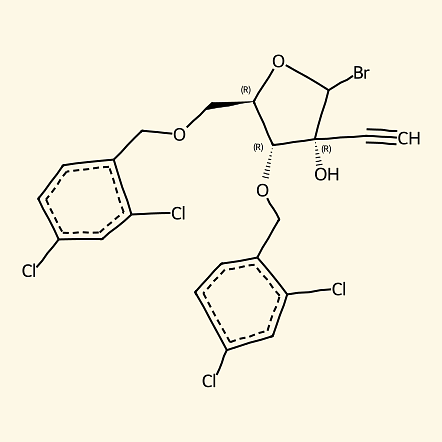 C#C[C@]1(O)C(Br)O[C@H](COCc2ccc(Cl)cc2Cl)[C@H]1OCc1ccc(Cl)cc1Cl